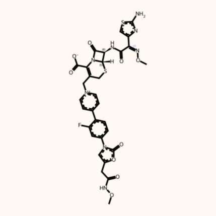 CO/N=C(\C(=O)N[C@@H]1C(=O)N2C(C(=O)[O-])=C(C[n+]3ccc(-c4ccc(-n5cc(CC(=O)NOC)oc5=O)cc4F)cc3)CS[C@@H]12)c1csc(N)n1